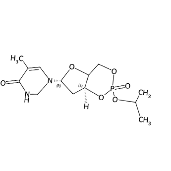 CC1=CN([C@H]2C[C@@H]3OP(=O)(OC(C)C)OCC3O2)CNC1=O